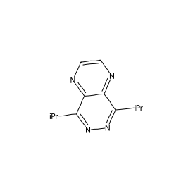 CC(C)c1nnc(C(C)C)c2nccnc12